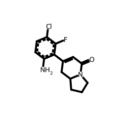 Nc1ccc(Cl)c(F)c1C1=CC(=O)N2CCCC2C1